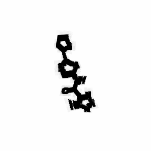 O=C(Nc1csc(-c2cccs2)n1)c1nnn[nH]1